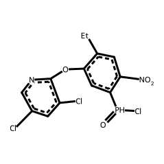 CCc1cc([N+](=O)[O-])c([PH](=O)Cl)cc1Oc1ncc(Cl)cc1Cl